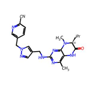 Cc1nc(NCc2cnn(Cc3ccc(C#N)nc3)c2)nc2c1NC(=O)[C@H](C(C)C)N2C